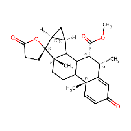 COC(=O)[C@H]1C2C(CC[C@@]3(C)C2[C@@H]2C[C@@H]2[C@]32CCC(=O)O2)[C@@]2(C)C=CC(=O)C=C2[C@H]1C